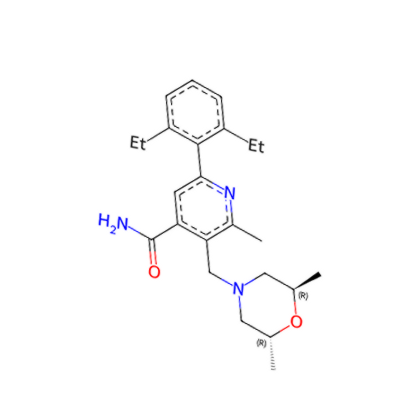 CCc1cccc(CC)c1-c1cc(C(N)=O)c(CN2C[C@@H](C)O[C@H](C)C2)c(C)n1